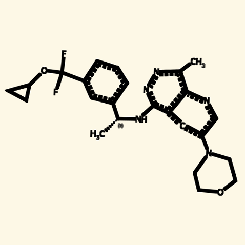 Cc1nnc(N[C@H](C)c2cccc(C(F)(F)OC3CC3)c2)c2cc(N3CCOCC3)cnc12